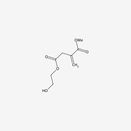 C=C(CC(=O)OCCO)C(=O)OC